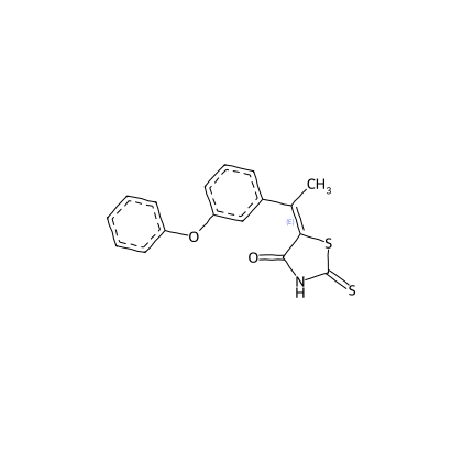 C/C(=C1\SC(=S)NC1=O)c1cccc(Oc2ccccc2)c1